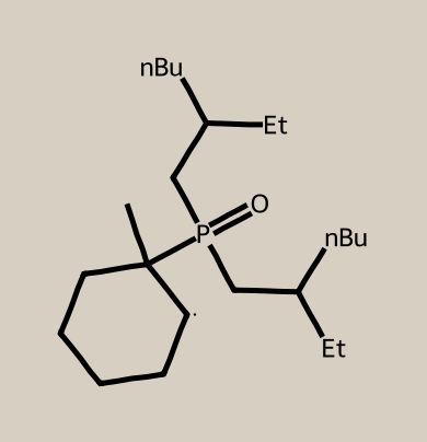 CCCCC(CC)CP(=O)(CC(CC)CCCC)C1(C)[CH]CCCC1